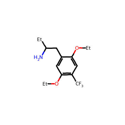 CCOc1cc(C(F)(F)F)c(OCC)cc1CC(N)CC